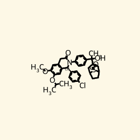 COc1cc2c(cc1OC(C)C)[C@H](c1ccc(Cl)cc1)N(c1ccc(C(C)(O)C3CC4CCC(C3)S4(=O)=O)cc1)C(=O)C2